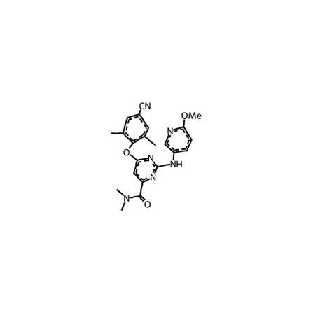 COc1ccc(Nc2nc(Oc3c(C)cc(C#N)cc3C)cc(C(=O)N(C)C)n2)cn1